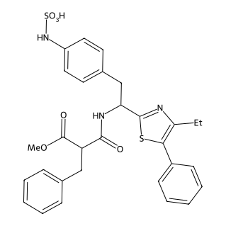 CCc1nc(C(Cc2ccc(NS(=O)(=O)O)cc2)NC(=O)C(Cc2ccccc2)C(=O)OC)sc1-c1ccccc1